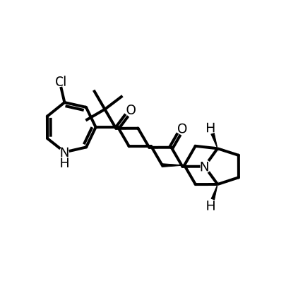 CC(C)(C)CCCC(=O)CN1[C@@H]2CC[C@H]1C[C@H](CCCC(=O)C1=CNC=CC(Cl)=C1)C2